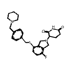 O=C1CCC(N2Cc3c(F)ccc(SCc4ccc(CN5CCCCC5)cc4)c3C2)C(=O)N1